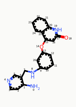 Nc1ccncc1CNc1cccc(Oc2cc(=O)[nH]c3ccccc23)c1